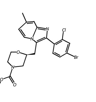 COC(=O)N1CCO[C@@H](Cc2c(-c3ccc(Br)cc3Cl)nc3cc(C)ccn23)C1